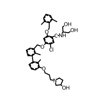 Cc1cccc(C)c1COc1cc(OCc2cccc(-c3cccc(OCCCN4CCC(O)C4)c3C)c2C)c(Cl)cc1CNC(CO)CO